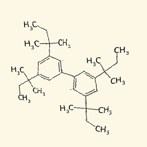 CCC(C)(C)c1[c]c(-c2[c]c(C(C)(C)CC)cc(C(C)(C)CC)c2)cc(C(C)(C)CC)c1